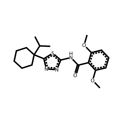 COc1cccc(OC)c1C(=O)Nc1nnc(C2(C(C)C)CCCCC2)s1